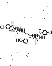 N=C(NCCCCCCNC(=N)NC(=N)Nc1ccc(Cl)cc1)NC(=N)Nc1ccc(Cl)cc1.Oc1ccccc1